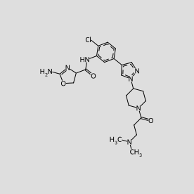 CN(C)CCC(=O)N1CCC(n2cc(-c3ccc(Cl)c(NC(=O)C4COC(N)=N4)c3)cn2)CC1